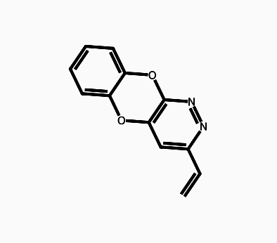 C=Cc1cc2c(nn1)Oc1ccccc1O2